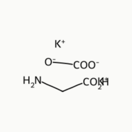 NCC(=O)O.O=C([O-])[O-].[K+].[K+]